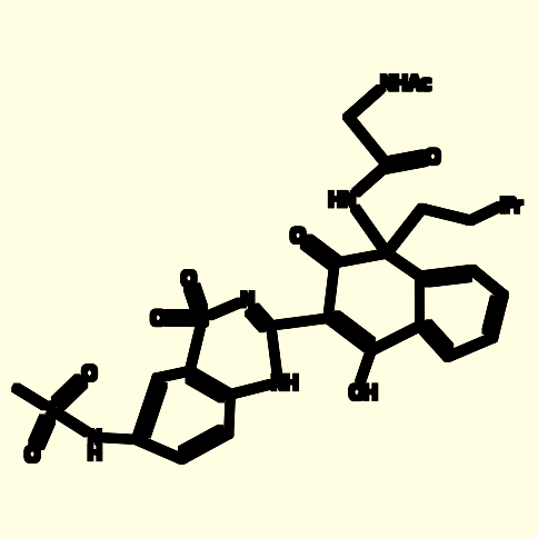 CC(=O)NCC(=O)NC1(CCC(C)C)C(=O)C(C2=NS(=O)(=O)c3cc(NS(C)(=O)=O)ccc3N2)=C(O)c2ccccc21